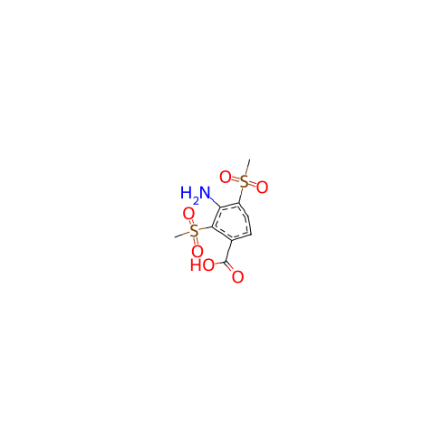 CS(=O)(=O)c1ccc(C(=O)O)c(S(C)(=O)=O)c1N